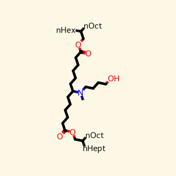 CCCCCCCCC(CCCCCC)COC(=O)CCCCCC(CCCCCC(=O)OCC(CCCCCCC)CCCCCCCC)N(C)CCCCO